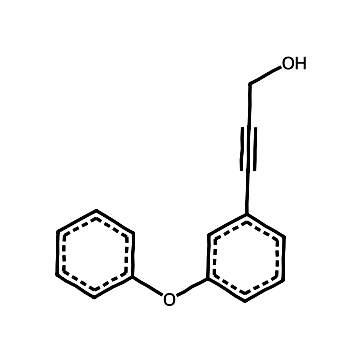 OCC#Cc1cccc(Oc2ccccc2)c1